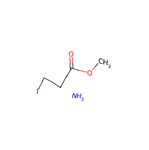 COC(=O)CCI.N